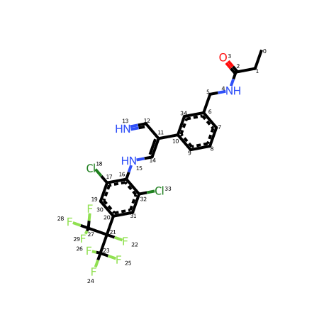 CCC(=O)NCc1cccc(/C(C=N)=C/Nc2c(Cl)cc(C(F)(C(F)(F)F)C(F)(F)F)cc2Cl)c1